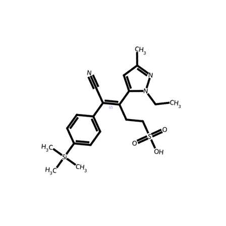 CCn1nc(C)cc1/C(CCS(=O)(=O)O)=C(\C#N)c1ccc([Si](C)(C)C)cc1